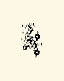 CC(C)c1nc(CN(C)C(=O)N[C@H](C(=O)N[C@@H](Cc2ccc(F)cc2)C[C@H](O)[C@H](Cc2ccc(F)cc2)NC(=O)OCc2cncs2)C(C)C)cs1